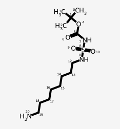 CC(C)(C)OC(=O)NS(=O)(=O)NCCCCCCCCN